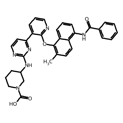 Cc1ccc2c(NC(=O)c3ccccc3)cccc2c1Oc1ncccc1-c1ccnc(NC2CCCN(C(=O)O)C2)n1